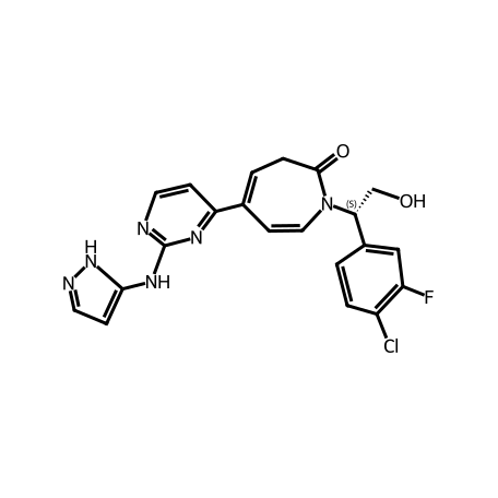 O=C1CC=C(c2ccnc(Nc3ccn[nH]3)n2)C=CN1[C@H](CO)c1ccc(Cl)c(F)c1